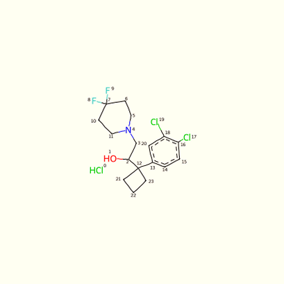 Cl.OC(CN1CCC(F)(F)CC1)C1(c2ccc(Cl)c(Cl)c2)CCC1